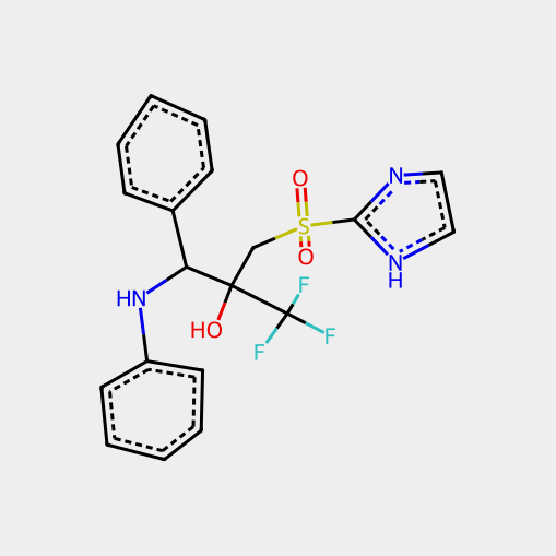 O=S(=O)(CC(O)(C(Nc1ccccc1)c1ccccc1)C(F)(F)F)c1ncc[nH]1